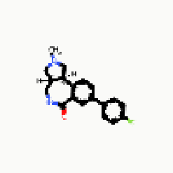 CN1C[C@H]2CNC(=O)c3cc(-c4ccc(F)cc4)ccc3[C@@H]2C1